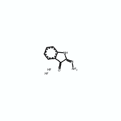 F.F.NN=C1Nc2ccccc2C1=O